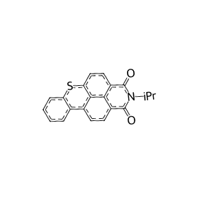 CC(C)n1c(=O)c2ccc3sc4ccccc4c4ccc(c1=O)c2c34